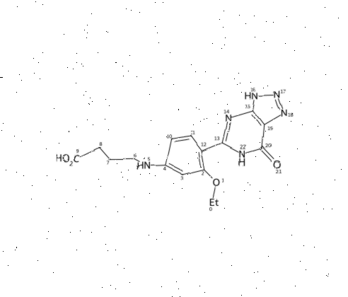 CCOc1cc(NCCCC(=O)O)ccc1-c1nc2[nH]nnc2c(=O)[nH]1